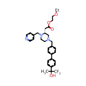 CCOCCOC(=O)C[C@@H]1CN(Cc2ccc(-c3ccc(C(C)(O)C(F)(F)F)cc3)cc2)CCN1Cc1ccncc1